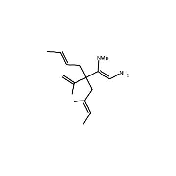 C=C(C)C(C/C=C/C)(C/C(C)=C/C)/C(=C/N)NC